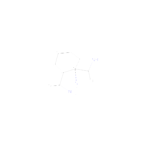 CCC(N)C1CCCCC1(N)C(N)CC